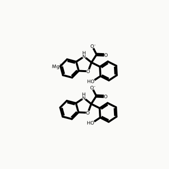 O=C([O-])C1(c2ccccc2O)Nc2ccccc2O1.O=C([O-])C1(c2ccccc2O)Nc2ccccc2O1.[Mg+2]